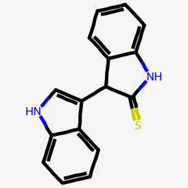 S=C1Nc2ccccc2C1c1c[nH]c2ccccc12